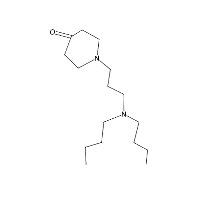 CCCCN(CCCC)CCCN1CCC(=O)CC1